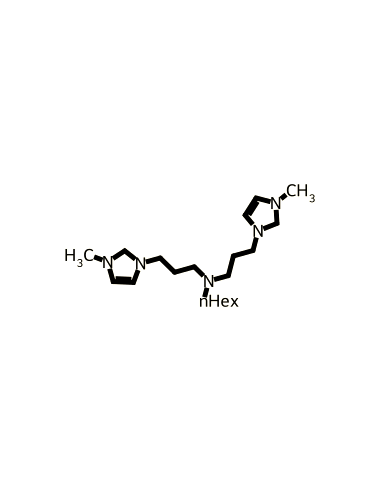 CCCCCCN(CCCN1C=CN(C)C1)CCCN1C=CN(C)C1